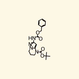 CC(C)(C)OC(=O)N1CCCn2nc(NC(=O)OCc3ccccc3)cc21